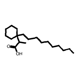 CCCCCCCCCCC1(C(C)C(=O)O)CCCCC1